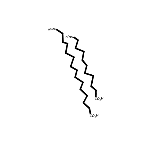 CCCCCCCCCCCCCCCCCCCC(=O)O.CCCCCCCCCCCCCCCCCCCCCCCC(=O)O